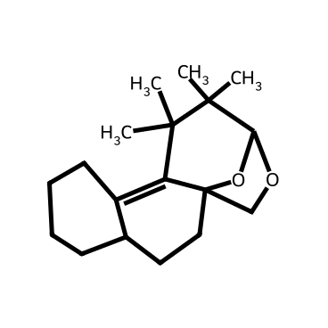 CC1(C)C2=C3CCCCC3CCC23COC(O3)C1(C)C